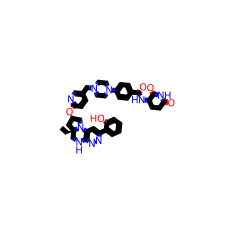 CC[C@]12CNc3nnc(-c4ccccc4O)cc3N1C[C@H](Oc1ccc(CN3CCN(c4ccc(C(=O)NC5CCC(=O)NC5=O)cc4)CC3)cn1)C2